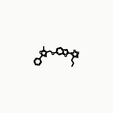 CCCc1nnnn1-c1cc2ccc(OCc3nc(-c4ccccc4)oc3C)cc2o1